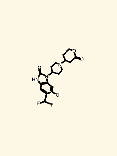 O=C1CC(N2CCC(n3c(=O)[nH]c4cc(C(F)F)c(Cl)cc43)CC2)CCO1